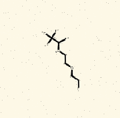 FCCOCCOC(F)C(F)(F)F